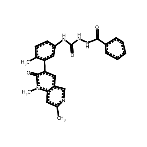 Cc1cc2c(cn1)cc(-c1cc(NC(=O)NNC(=O)c3ccccc3)ccc1C)c(=O)n2C